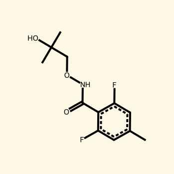 Cc1cc(F)c(C(=O)NOCC(C)(C)O)c(F)c1